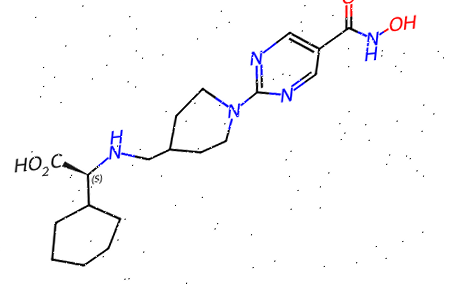 O=C(NO)c1cnc(N2CCC(CN[C@H](C(=O)O)C3CCCCC3)CC2)nc1